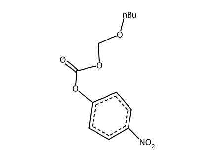 CCCCOCOC(=O)Oc1ccc([N+](=O)[O-])cc1